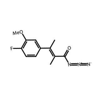 COc1cc(/C(C)=C(\C)C(=O)N=[N+]=[N-])ccc1F